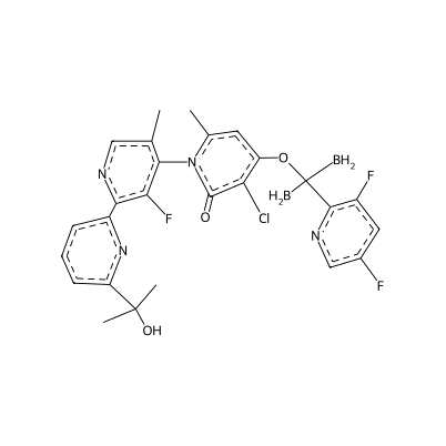 BC(B)(Oc1cc(C)n(-c2c(C)cnc(-c3cccc(C(C)(C)O)n3)c2F)c(=O)c1Cl)c1ncc(F)cc1F